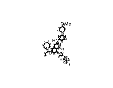 C=CC(=O)N1CCCCC[C@@H]1c1ccc(N2C[C@H](CS(=O)(=O)C(F)(F)F)[C@H]2C)c2cnc(Nc3ccnc(N4CCC(OC)CC4)n3)cc12